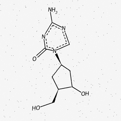 Nc1ncn([C@H]2CC(O)[C@@H](CO)C2)c(=O)n1